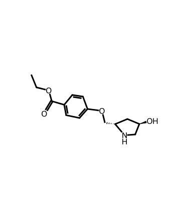 CCOC(=O)c1ccc(OC[C@@H]2C[C@@H](O)CN2)cc1